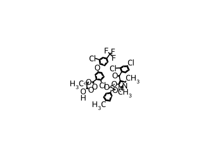 C[C@H](OC(=O)c1cc(Oc2ccc(C(F)(F)F)cc2Cl)ccc1Cl)C(=O)O.Cc1ccc(S(=O)(=O)Oc2c(C(=O)c3ccc(Cl)cc3Cl)c(C)nn2C)cc1